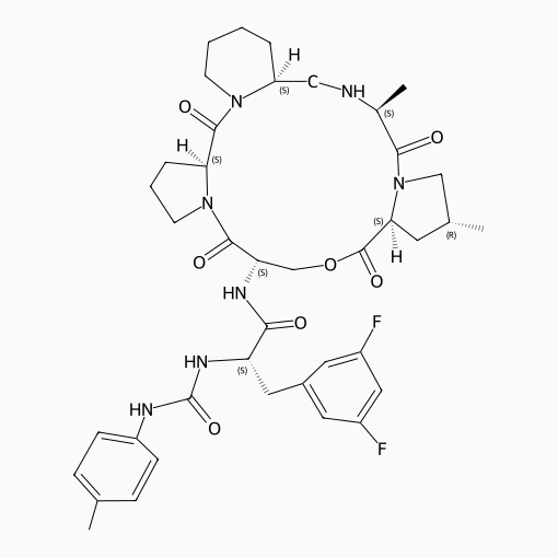 Cc1ccc(NC(=O)N[C@@H](Cc2cc(F)cc(F)c2)C(=O)N[C@H]2COC(=O)[C@@H]3C[C@@H](C)CN3C(=O)[C@H](C)NC[C@@H]3CCCCN3C(=O)[C@@H]3CCCN3C2=O)cc1